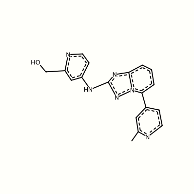 Cc1cc(-c2cccc3nc(Nc4ccnc(CO)c4)nn23)ccn1